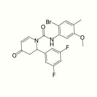 COc1cc(NC(=O)N2C=CC(=O)CC2c2cc(F)cc(F)c2)c(Br)cc1C